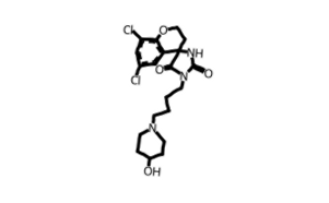 O=C1NC2(CCOc3c(Cl)cc(Cl)cc32)C(=O)N1CCCCN1CCC(O)CC1